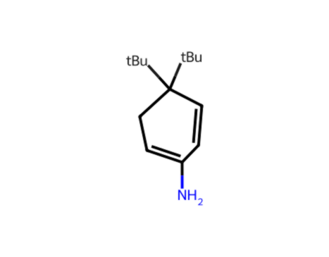 CC(C)(C)C1(C(C)(C)C)C=CC(N)=CC1